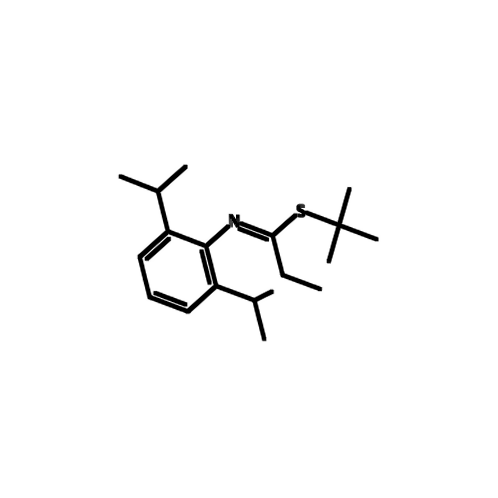 CCC(=Nc1c(C(C)C)cccc1C(C)C)SC(C)(C)C